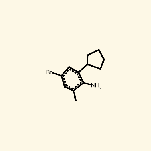 Cc1cc(Br)cc(C2CCCC2)c1N